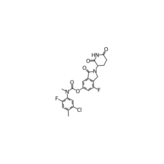 Cc1cc(F)c(N(C)C(=O)Oc2cc(F)c3c(c2)C(=O)N(C2CCC(=O)NC2=O)C3)cc1Cl